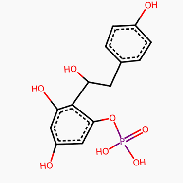 O=P(O)(O)Oc1cc(O)cc(O)c1C(O)Cc1ccc(O)cc1